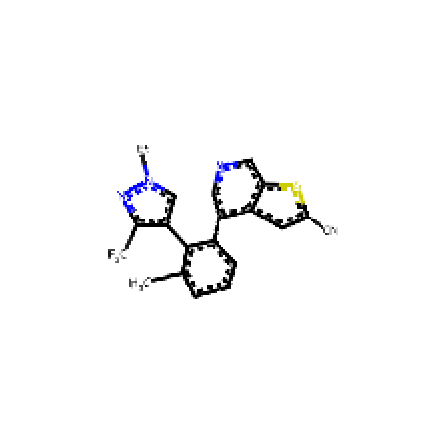 CCn1cc(-c2c(C)cccc2-c2cncc3sc(C#N)cc23)c(C(F)(F)F)n1